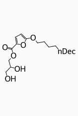 CCCCCCCCCCCCCCOc1ccc(C(=O)OCC(O)CO)o1